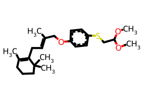 COC(CSc1ccc(OCC(C)=CCC2=C(C)CCCC2(C)C)cc1)OC